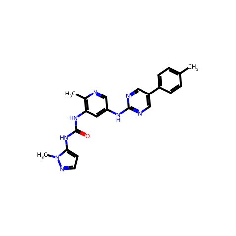 Cc1ccc(-c2cnc(Nc3cnc(C)c(NC(=O)Nc4ccnn4C)c3)nc2)cc1